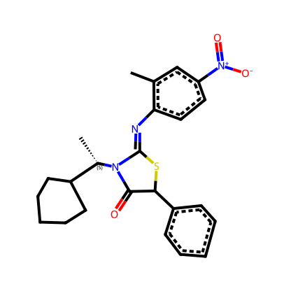 Cc1cc([N+](=O)[O-])ccc1N=C1SC(c2ccccc2)C(=O)N1[C@@H](C)C1CCCCC1